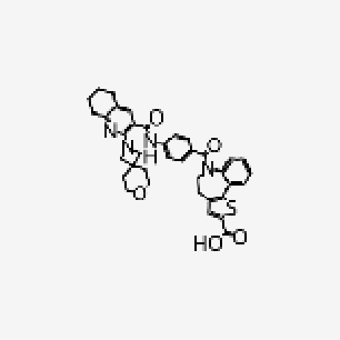 O=C(O)c1cc2c(s1)-c1ccccc1N(C(=O)c1ccc(NC(=O)c3cc4c(nc3N3CC5(CCOCC5)C3)CCCC4)cc1)CC2